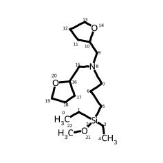 CC[Si](CC)(CCCN(CC1CCCO1)CC1CCCO1)OC